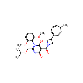 COc1cccc(OC)c1-n1c(COC(C)C)nc(=O)c(C(=O)N2CC(C3=CC=CC(C)C=C3)C2)c1O